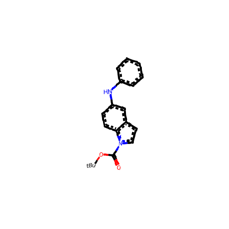 CC(C)(C)OC(=O)n1ccc2cc(Nc3ccccc3)ccc21